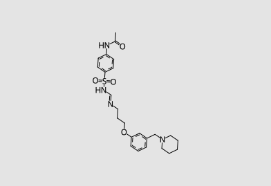 CC(=O)Nc1ccc(S(=O)(=O)NC=NCCCOc2cccc(CN3CCCCC3)c2)cc1